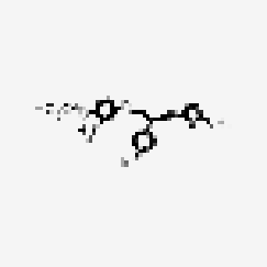 Cc1ccc(C#CC(=CCOc2ccc(OCC(=O)O)c(C)c2)c2ccc(Br)cc2)s1